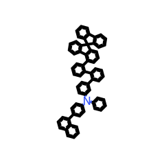 c1ccc(N(c2ccc(-c3cccc4ccccc34)cc2)c2cccc(-c3ccccc3-c3ccccc3-c3cccc4c3-c3ccccc3C43c4ccccc4-c4ccccc43)c2)cc1